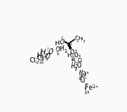 CC(=O)O.O.O.O.O.O.O.[Cl-].[Cl-].[Cl-].[Fe+2].[Na+]